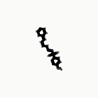 Cc1ccc(S(=O)(=O)/N=C/C/C=C\C=C2\C=CC=CC2)cc1